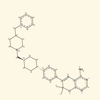 CC1(C)Oc2ncnc(N)c2N=C1c1ccc([C@H]2CC[C@H](CN3CCC(Cc4ccccc4)CC3)CC2)cc1